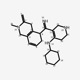 C=C1CC2=C(C=CCC2C(=N)C2=C(NC3CCCCC3)CCNC2)CN1C